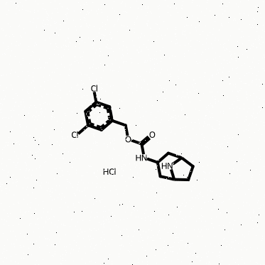 Cl.O=C(NC1CC2CCC(C1)N2)OCc1cc(Cl)cc(Cl)c1